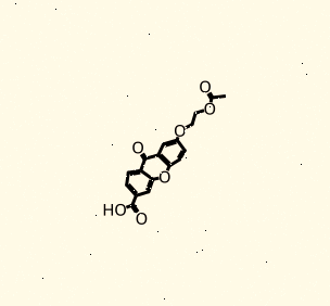 CC(=O)OCCOc1ccc2oc3cc(C(=O)O)ccc3c(=O)c2c1